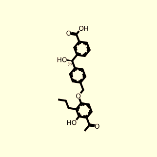 CCCc1c(OCc2ccc([C@@H](O)c3cccc(C(=O)O)c3)cc2)ccc(C(C)=O)c1O